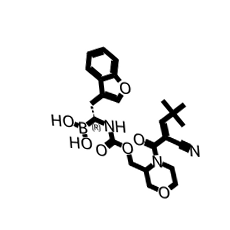 CC(C)(C)C=C(C#N)C(=O)N1CCOCC1COC(=O)N[C@@H](Cc1coc2ccccc12)B(O)O